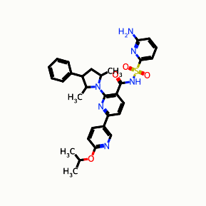 CC(C)Oc1ccc(-c2ccc(C(=O)NS(=O)(=O)c3cccc(N)n3)c(N3C(C)CC(c4ccccc4)C3C)n2)cn1